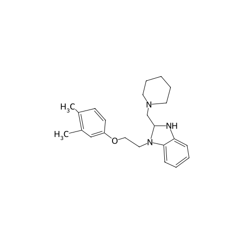 Cc1ccc(OCCN2c3ccccc3NC2CN2CCCCC2)cc1C